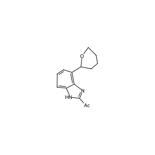 CC(=O)c1nc2c(C3CCCCO3)cccc2[nH]1